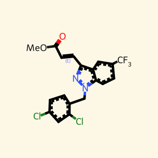 COC(=O)/C=C/c1nn(Cc2ccc(Cl)cc2Cl)c2ccc(C(F)(F)F)cc12